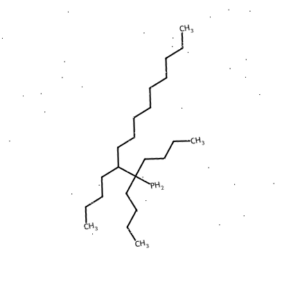 CCCCCCCCCC(CCCC)C(P)(CCCC)CCCC